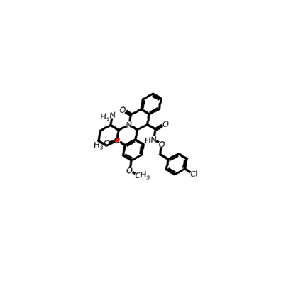 COc1ccc(C2C(C(=O)NOCc3ccc(Cl)cc3)c3ccccc3C(=O)N2C2CCCCC2N)c(OC)c1